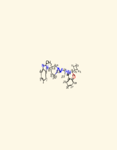 Cc1nc2ccccc2n1C1C2CN(CC[C@H](NC(=O)C3CCC3)c3ccccc3)CC21